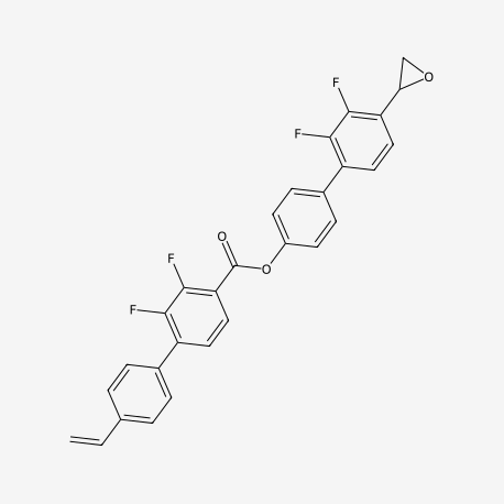 C=Cc1ccc(-c2ccc(C(=O)Oc3ccc(-c4ccc(C5CO5)c(F)c4F)cc3)c(F)c2F)cc1